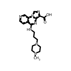 CN1CCN(CCCNc2nc3c(C(=O)O)ncn3c3cnccc23)CC1